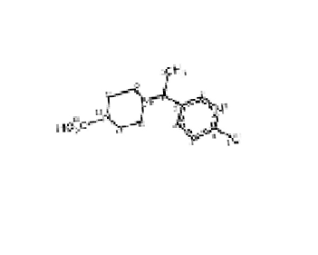 CC(c1ccc(Cl)nc1)N1CCN(C(=O)O)CC1